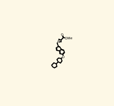 COC(=O)C1CN(Cc2ccc3cc(OC4CCC(C5CCCCC5)CC4)ccc3c2)C1